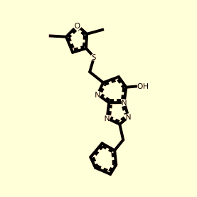 Cc1cc(SCc2cc(O)n3nc(Cc4ccccc4)nc3n2)c(C)o1